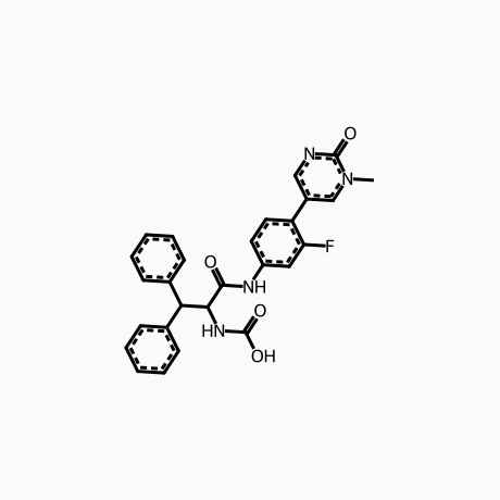 Cn1cc(-c2ccc(NC(=O)C(NC(=O)O)C(c3ccccc3)c3ccccc3)cc2F)cnc1=O